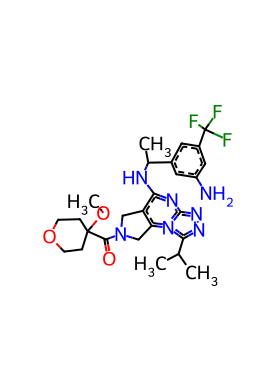 COC1(C(=O)N2Cc3c(NC(C)c4cc(N)cc(C(F)(F)F)c4)nc4nnc(C(C)C)n4c3C2)CCOCC1